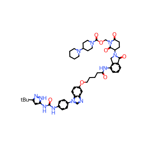 CC(C)(C)c1cc(NC(=O)Nc2ccc(-n3cnc4cc(OCCCCC(=O)Nc5cccc6c5CN(C5CCC(=O)N(COC(=O)N7CCC(N8CCCCC8)CC7)C5=O)C6=O)ccc43)cc2)[nH]n1